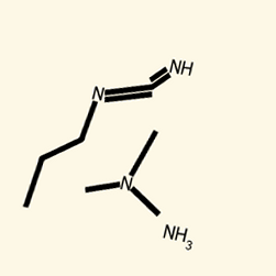 CCCN=C=N.CN(C)C.N